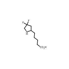 O=C(O)CCCCC1CC(F)(F)CN1